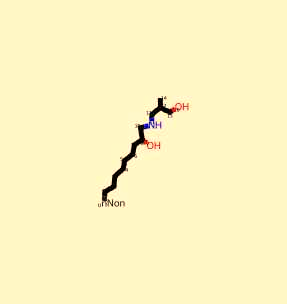 CCCCCCCCCCCCCCCCC(O)CNCC(C)CO